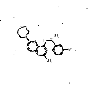 Cc1nc(N[C@H](C)c2cccc(Br)c2)c2nc(N3CCOCC3)ncc2n1